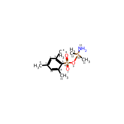 Cc1cc(C)c(S(=O)(=O)OS(C)(C)N)c(C)c1